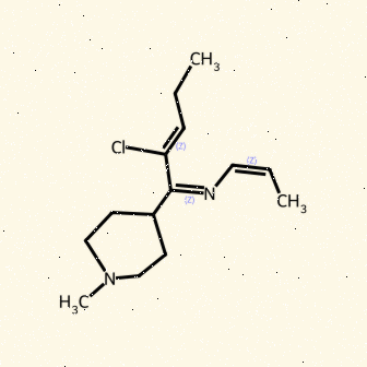 C\C=C/N=C(\C(Cl)=C\CC)C1CCN(C)CC1